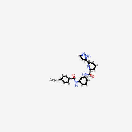 CC(=O)Nc1ccc(C(=O)Nc2cccc(NC(=O)c3cccc(-c4ccn[nH]4)n3)c2)cc1